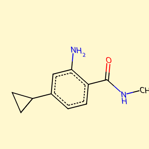 CNC(=O)c1ccc(C2CC2)cc1N